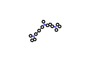 c1ccc(N(c2ccc(-c3ccc(-c4ccc(N(c5ccccc5)c5cccc6ccccc56)cc4)cc3)cc2)c2ccc3c(ccc4cc(N(c5ccccc5)c5cccc6ccccc56)ccc43)c2)cc1